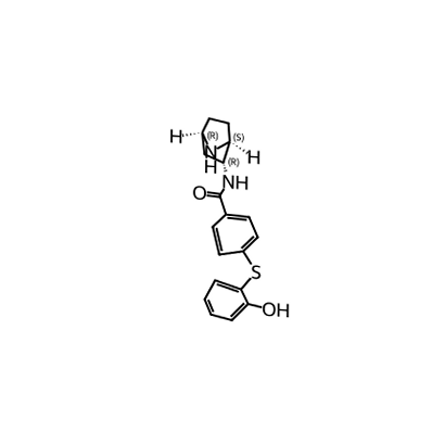 O=C(N[C@@H]1C[C@H]2CC[C@@H]1N2)c1ccc(Sc2ccccc2O)cc1